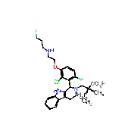 C[C@@H]1Cc2c([nH]c3ccccc23)C(c2c(F)ccc(OCCNCCCF)c2Cl)N1CC(C)(C)C(=O)O